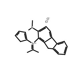 C[C](C)=[Zr+2]([C]1=CC=CC1)[c]1c(N(C)C)ccc2c1Cc1ccccc1-2.[Cl-].[Cl-]